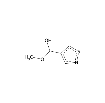 COC(O)c1cnsc1